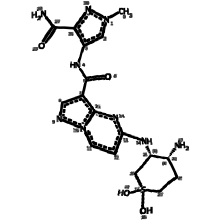 Cn1cc(NC(=O)c2cnn3ccc(N[C@H]4CS(O)(O)CC[C@H]4N)nc23)c(C(N)=O)n1